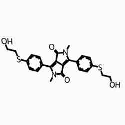 CN1C(=O)C2=C(c3ccc(SCCO)cc3)N(C)C(=O)C2=C1c1ccc(SCCO)cc1